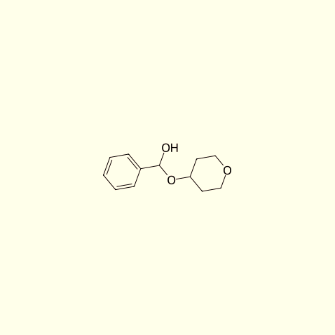 OC(OC1CCOCC1)c1ccccc1